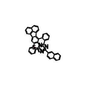 c1ccc(-c2nc(-c3ccc4ccccc4c3)nc(-c3ccccc3-c3c4c(cc5sc6ccccc6c35)-c3cccc5cccc-4c35)n2)cc1